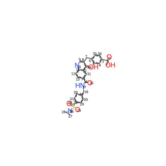 O=C(O)c1ccc(Cc2cnc3ccc(C(=O)NCc4ccc(S(=O)(=O)N5CC5)cc4)cc3c2O)cc1